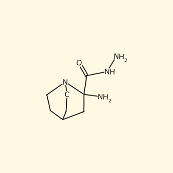 NNC(=O)C1(N)CC2CCN1CC2